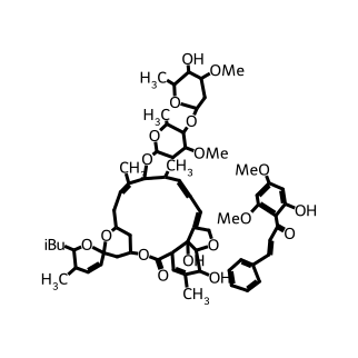 CCC(C)C1OC2(C=CC1C)CC1CC(CC=C(C)C(OC3CC(OC)C(OC4CC(OC)C(O)C(C)O4)C(C)O3)C(C)C=CC=C3COC4C(O)C(C)=CC(C(=O)O1)C34O)O2.COc1cc(O)c(C(=O)C=Cc2ccccc2)c(OC)c1